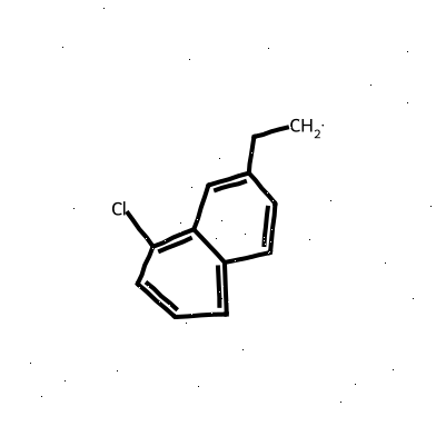 [CH2]Cc1ccc2cccc(Cl)c2c1